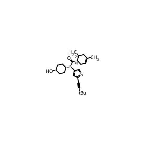 CC1=CC[C@@H](C(=O)N(c2csc(C#CC(C)(C)C)c2)[C@H]2CC[C@H](O)CC2)[C@@H](C)C1